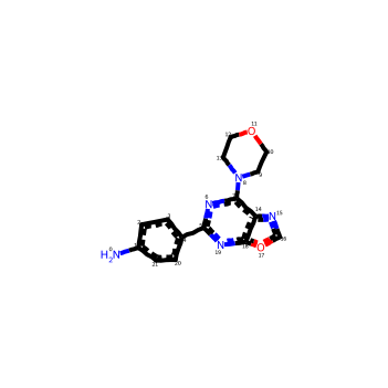 Nc1ccc(-c2nc(N3CCOCC3)c3ncoc3n2)cc1